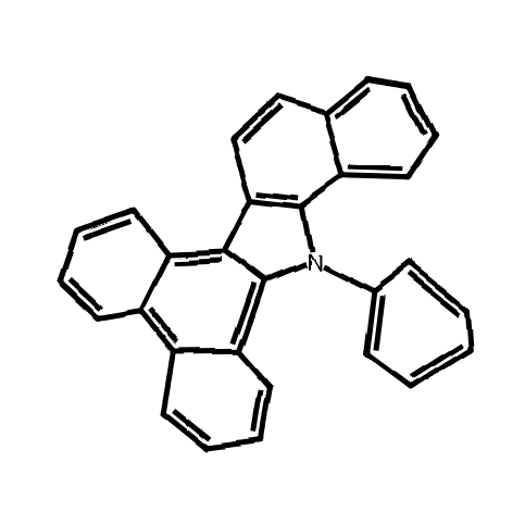 c1ccc(-n2c3c4ccccc4ccc3c3c4ccccc4c4ccccc4c32)cc1